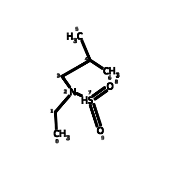 CCN(CC(C)C)[SH](=O)=O